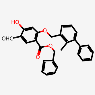 Cc1c(COc2cc(O)c(C=O)cc2C(=O)OCc2ccccc2)cccc1-c1ccccc1